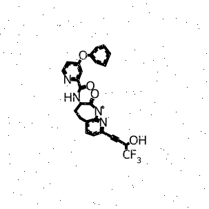 CN1C(=O)[C@@H](NC(=O)c2cc(Oc3ccccc3)ccn2)CCc2ccc(C#CC(O)C(F)(F)F)nc21